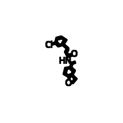 CC(NC(=O)C=Cc1cccc(Cl)c1)c1ccc2c(c1)CCO2